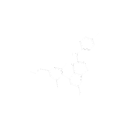 C/C=C/c1cc(C)c(-c2cc(F)cc3cnc(Nc4ccc(C)cc4)nc23)c(C)c1